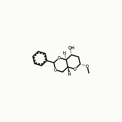 CO[C@H]1C[C@@H](O)[C@@H]2OC(c3ccccc3)OC[C@H]2O1